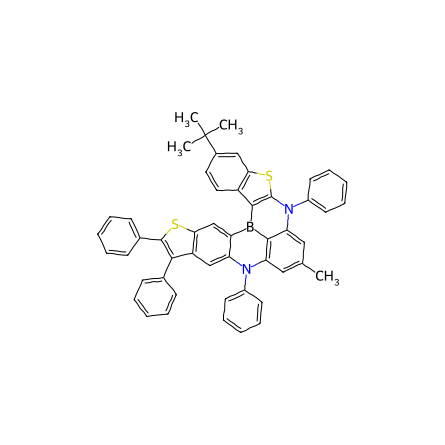 Cc1cc2c3c(c1)N(c1ccccc1)c1sc4cc(C(C)(C)C)ccc4c1B3c1cc3sc(-c4ccccc4)c(-c4ccccc4)c3cc1N2c1ccccc1